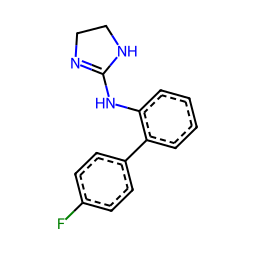 Fc1ccc(-c2ccccc2NC2=NCCN2)cc1